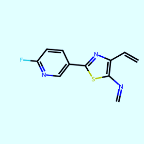 C=Cc1nc(-c2ccc(F)nc2)sc1N=C